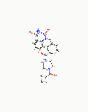 O=C(c1cccc(Cn2c(=O)[nH]c(=O)c3ccccc32)c1)N1CCN(C(=O)C2CCC2)CC1